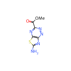 COC(=O)c1nnc2nc(N)sc2n1